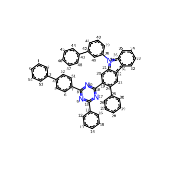 c1ccc(-c2ccc(-c3nc(-c4ccccc4)nc(-c4cc5c(cc4-c4ccccc4)c4ccccc4n5-c4cccc(-c5ccccc5)c4)n3)cc2)cc1